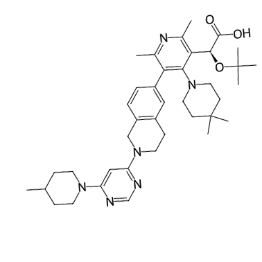 Cc1nc(C)c([C@H](OC(C)(C)C)C(=O)O)c(N2CCC(C)(C)CC2)c1-c1ccc2c(c1)CCN(c1cc(N3CCC(C)CC3)ncn1)C2